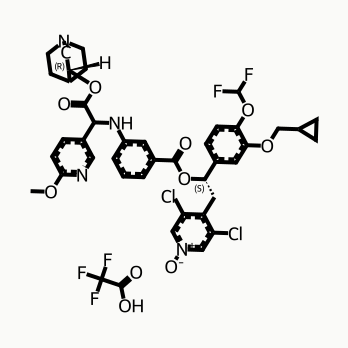 COc1ccc(C(Nc2cccc(C(=O)O[C@@H](Cc3c(Cl)c[n+]([O-])cc3Cl)c3ccc(OC(F)F)c(OCC4CC4)c3)c2)C(=O)O[C@H]2CN3CCC2CC3)cn1.O=C(O)C(F)(F)F